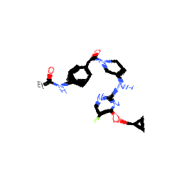 CCC(=O)Nc1ccc(C(=O)N2CCC(Nc3ncc(F)c(OC4CC4)n3)C2)cc1